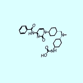 CN(C[C@H]1CC[C@H](n2ccc(NC(=O)c3ccccc3)nc2=O)CC1)[C@H]1CC[C@H](NC(=O)O)CC1